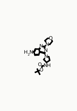 CC(C)(C)OC(=O)N[C@@H]1CCN(c2nc(N3CCOCC3)nc3cc(N)ccc23)C1